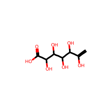 C=C(O)C(O)C(O)C(O)C(O)C(=O)O